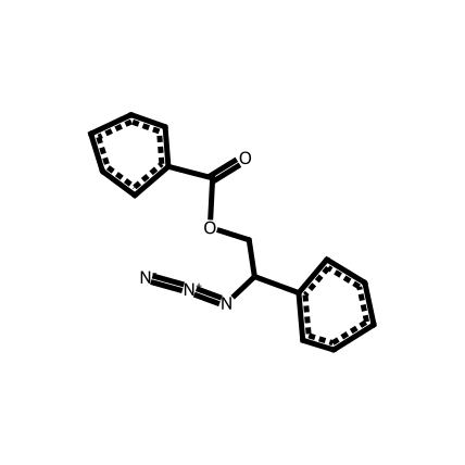 [N-]=[N+]=NC(COC(=O)c1ccccc1)c1ccccc1